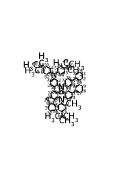 Cc1cc(C(C)(C)C)ccc1N1c2ccc(-c3ccccc3)cc2B2c3c(cc4sc5ccccc5c4c31)-c1ccc(N(c3ccc(C(C)(C)C)cc3)c3ccc(C(C)(C)C)cc3)cc1N2c1ccc(-c2ccccc2)cc1